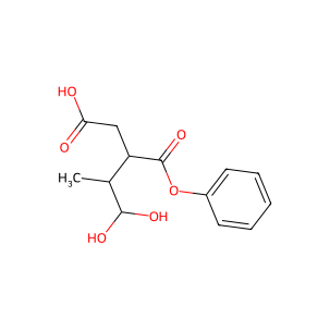 CC(C(O)O)C(CC(=O)O)C(=O)Oc1ccccc1